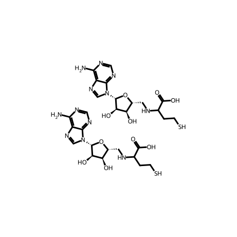 Nc1ncnc2c1ncn2[C@@H]1O[C@H](CNC(CCS)C(=O)O)[C@@H](O)[C@H]1O.Nc1ncnc2c1ncn2[C@@H]1O[C@H](CNC(CCS)C(=O)O)[C@@H](O)[C@H]1O